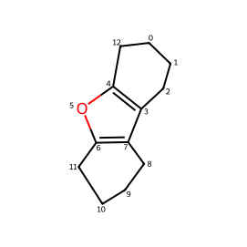 C1CCc2c(oc3c2CCCC3)C1